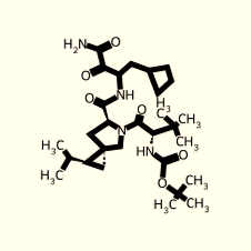 CC(C)[C@@H]1C[C@@]12C[C@@H](C(=O)NC(CC1CCC1)C(=O)C(N)=O)N(C(=O)[C@@H](NC(=O)OC(C)(C)C)C(C)(C)C)C2